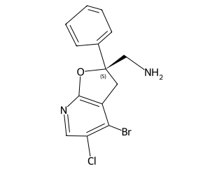 NC[C@@]1(c2ccccc2)Cc2c(ncc(Cl)c2Br)O1